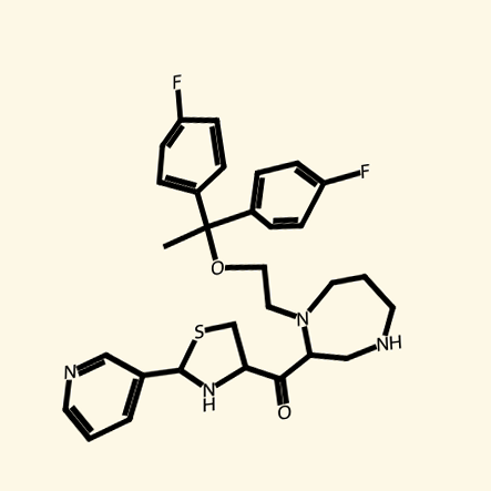 CC(OCCN1CCCNCC1C(=O)C1CSC(c2cccnc2)N1)(c1ccc(F)cc1)c1ccc(F)cc1